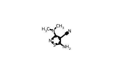 CN(C)c1nsc(N)c1C#N